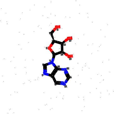 OC[C@H]1OC(n2cnc3[c]ncnc32)[C@H](O)[C@@H]1O